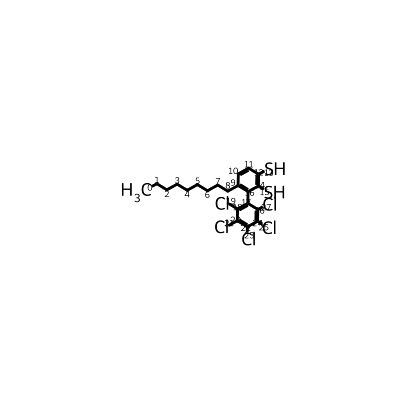 CCCCCCCCCc1ccc(S)c(S)c1-c1c(Cl)c(Cl)c(Cl)c(Cl)c1Cl